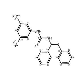 FC(F)(F)c1cc(NC(=S)NC(Cc2ccccc2)c2ccccc2)cc(C(F)(F)F)c1